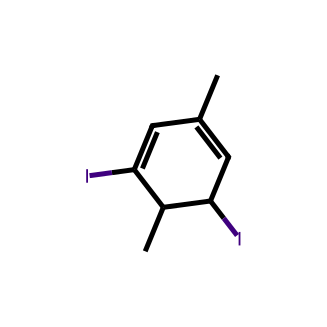 CC1=CC(I)C(C)C(I)=C1